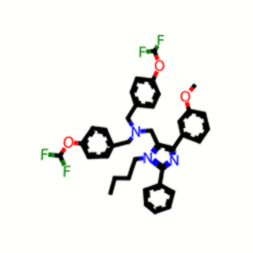 CCCCn1c(-c2ccccc2)nc(-c2cccc(OC)c2)c1CN(Cc1ccc(OC(F)F)cc1)Cc1ccc(OC(F)F)cc1